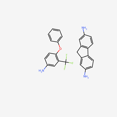 Nc1ccc(Oc2ccccc2)c(C(F)(F)F)c1.Nc1ccc2c(c1)Cc1cc(N)ccc1-2